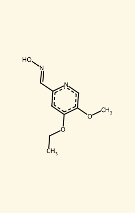 CCOc1cc(C=NO)ncc1OC